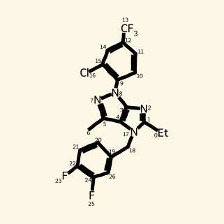 CCc1nc2c(c(C)nn2-c2ccc(C(F)(F)F)cc2Cl)n1Cc1ccc(F)c(F)c1